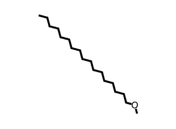 CCCCCCCCCCCCCCCCCOC